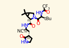 CC(C)(C)C(NC(=O)C(F)(F)F)C(=O)N1CC2C([C@H]1C(=O)N[C@H](C#N)C[C@@H]1CCNC1=O)C2(C)C